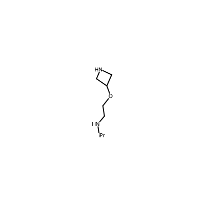 CC(C)NCCOC1CNC1